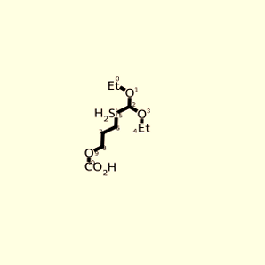 CCOC(OCC)[SiH2]CCCOC(=O)O